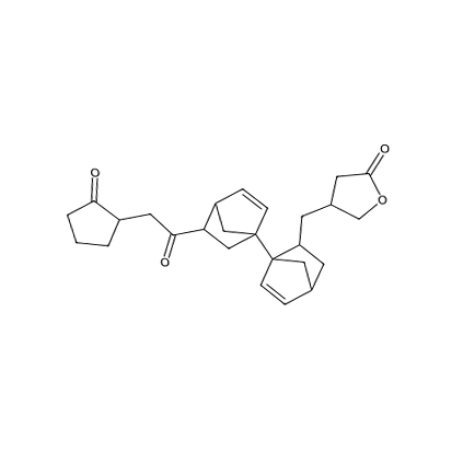 O=C1CC(CC2CC3C=CC2(C24C=CC(C2)C(C(=O)CC2CCCC2=O)C4)C3)CO1